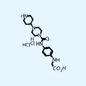 Cl.Cl.O=C(O)CNc1ccc(NC(=O)N2CCN(C3CCNCC3)CC2)cc1